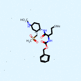 CSCCC(NC(=O)OCc1ccccc1)C(=O)N[C@H]1CCC(NC(=O)O)C[C@H]1CS(C)(=O)=O